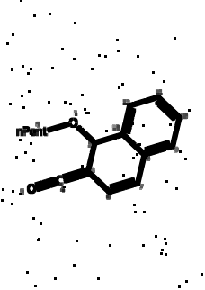 CCCCCOC1C(=C=O)C=Cc2ccccc21